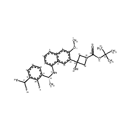 COc1cc2nccc(N[C@H](C)c3cccc(C(F)F)c3F)c2cc1C1(O)CN(C(=O)OC(C)(C)C)C1